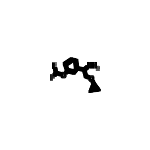 NC(COC1CC1)c1cccc(OC(F)F)c1